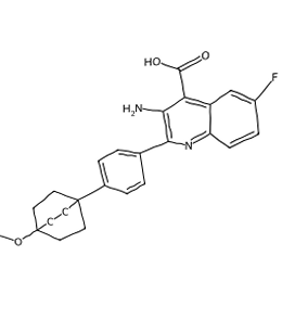 COC12CCC(c3ccc(-c4nc5ccc(F)cc5c(C(=O)O)c4N)cc3)(CC1)CC2